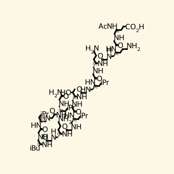 CCC(C)[C@@H](CNCC(=O)N[C@H](CNCC(=O)N[C@H](CNCC(N)=O)CC(C)C)CC(C)C)NC(=O)CNC[C@H](CCCN)NC(=O)CNC[C@H](CC(C)C)NC(=O)CNC[C@@H](NC(=O)CNC[C@H](CC(C)C)NC(=O)CNC[C@H](CCCN)NC(=O)CNC[C@H](CCCN)NC(=O)CNC[C@H](CCC(=O)O)NC(C)=O)C(C)O